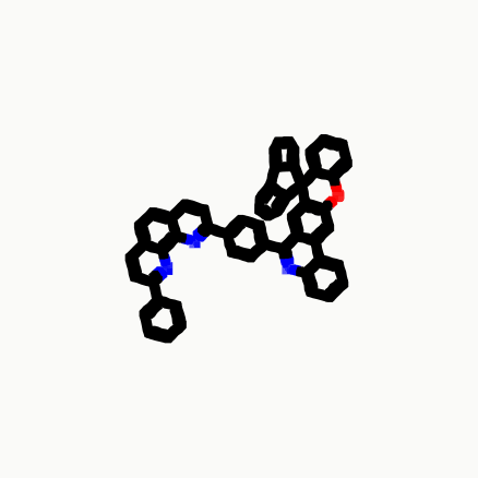 c1ccc(-c2ccc3ccc4ccc(-c5ccc(-c6nc7ccccc7c7cc8c(cc67)C6(c7ccccc7O8)c7ccccc7-c7ccccc76)cc5)nc4c3n2)cc1